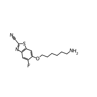 N#Cc1nc2cc(F)c(OCCCCCCN)cc2s1